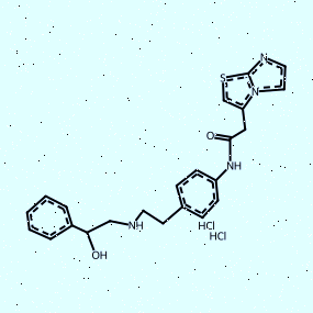 Cl.Cl.O=C(Cc1csc2nccn12)Nc1ccc(CCNCC(O)c2ccccc2)cc1